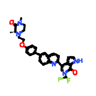 C[C@@H]1C(=O)N(C)CCN1CCOc1ccc(-c2ccc3nc(-c4cn(C(F)F)c(=O)c5[nH]ccc45)ccc3c2)cc1